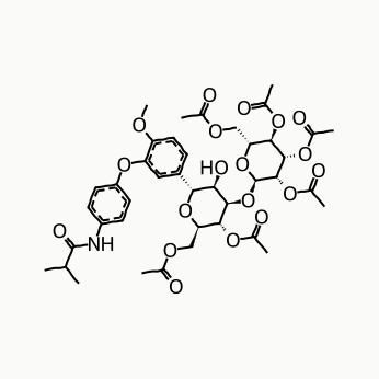 COc1ccc([C@H]2O[C@H](COC(C)=O)[C@@H](OC(C)=O)[C@H](O[C@H]3O[C@H](COC(C)=O)[C@@H](OC(C)=O)[C@H](OC(C)=O)[C@@H]3OC(C)=O)[C@@H]2O)cc1Oc1ccc(NC(=O)C(C)C)cc1